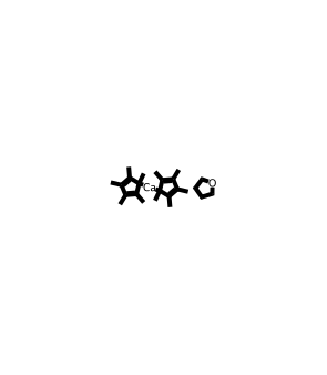 C1CCOC1.CC1=C(C)[C](C)([Ca][C]2(C)C(C)=C(C)C(C)=C2C)C(C)=C1C